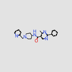 Cc1nc(-c2ccccc2)ncc1C(=O)NC1CCN(Cc2ccccn2)CC1